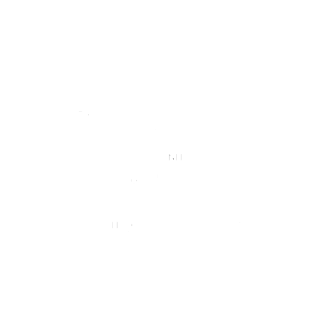 CC1=CCC(C(=O)O)C(C(=O)Nc2cccc(C(F)(F)F)c2)C1